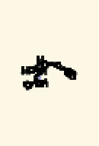 O[C@@H]1C[C@@H]2CC(=CCOCCN3CCOCC3)C[C@@H]2[C@H]1/C=C/[C@H](O)C1CCCC1